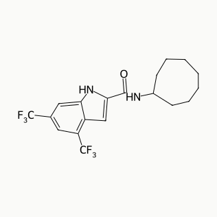 O=C(NC1CCCCCCC1)c1cc2c(C(F)(F)F)cc(C(F)(F)F)cc2[nH]1